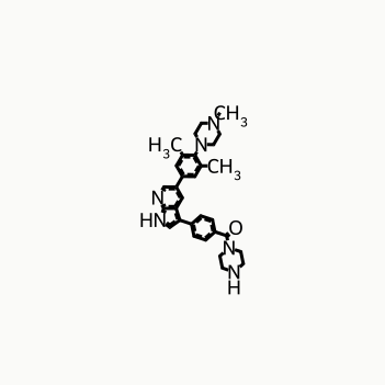 Cc1cc(-c2cnc3[nH]cc(-c4ccc(C(=O)N5CCNCC5)cc4)c3c2)cc(C)c1N1CCN(C)CC1